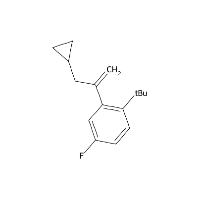 C=C(CC1CC1)c1cc(F)ccc1C(C)(C)C